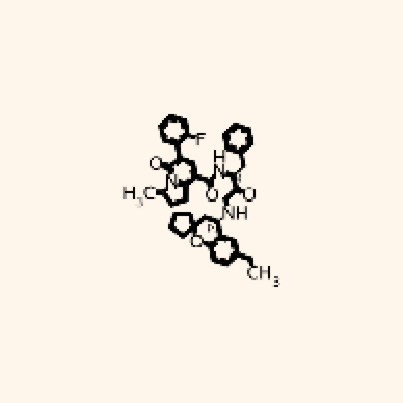 CCc1ccc2c(c1)[C@@H](NCC(=O)[C@H](Cc1ccccc1)NC(=O)c1cc(-c3ccccc3F)c(=O)n3c1CCC3C)CC1(CCCC1)O2